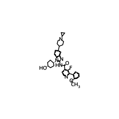 COc1ccccc1-c1nccc(C(=O)Nc2nc3cc(C4CCN(C5CC5)CC4)ccc3n2[C@H]2CC[C@@H](O)CC2)c1F